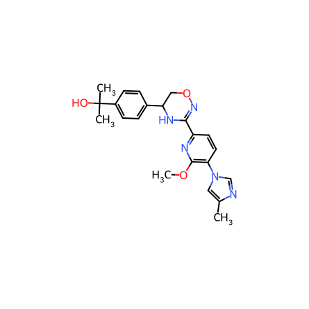 COc1nc(C2=NOCC(c3ccc(C(C)(C)O)cc3)N2)ccc1-n1cnc(C)c1